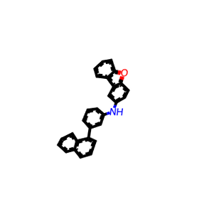 c1cc(Nc2ccc3oc4ccccc4c3c2)cc(-c2cccc3ccccc23)c1